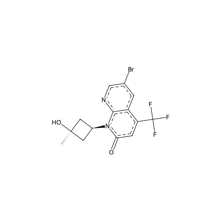 C[C@]1(O)C[C@@H](n2c(=O)cc(C(F)(F)F)c3cc(Br)cnc32)C1